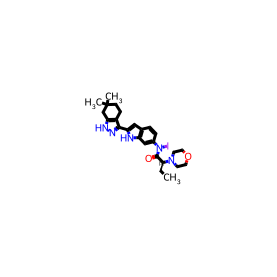 CC[C@@H](C(=O)N(I)c1ccc2cc(-c3n[nH]c4c3CCC(C)(C)C4)[nH]c2c1)N1CCOCC1